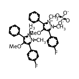 COc1c(-c2ccc(F)cc2)n(C)[n+](C)c1-c1ccccc1.COc1c(-c2ccc(F)cc2)n(C)[n+](C)c1-c1ccccc1.O=S(=O)([O-])[O-]